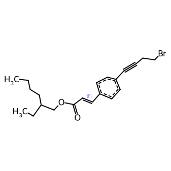 CCCCC(CC)COC(=O)/C=C/c1ccc(C#CCCBr)cc1